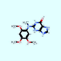 COc1cc(OC)c(N(C)c2nc(=O)c3[nH]cnc3[nH]2)cc1OC